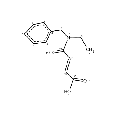 CCN(Cc1ccccc1)C(=O)C=CC(=O)O